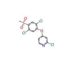 CS(=O)(=O)c1cc(Cl)c(Oc2ccnc(Cl)c2)cc1Cl